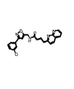 O=C(CCCc1ccc2cccnc2n1)NCc1cc(-c2cccc(Cl)c2)no1